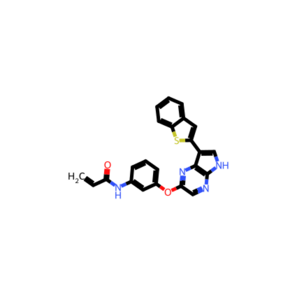 C=CC(=O)Nc1cccc(Oc2cnc3[nH]cc(-c4cc5ccccc5s4)c3n2)c1